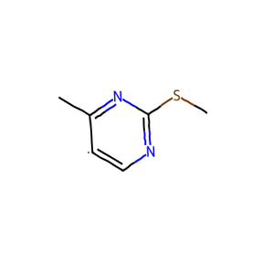 CSc1nc[c]c(C)n1